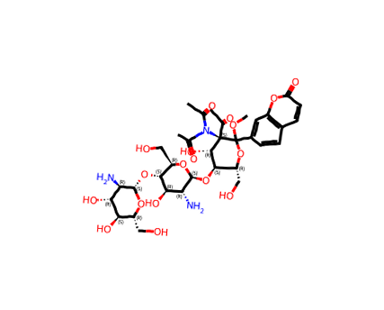 COC1(c2ccc3ccc(=O)oc3c2)O[C@H](CO)[C@@H](O[C@@H]2O[C@H](CO)[C@@H](O[C@@H]3O[C@H](CO)[C@@H](O)[C@H](O)[C@H]3N)[C@H](O)[C@H]2N)[C@H](O)[C@@]1(C(C)=O)N(C(C)=O)C(C)=O